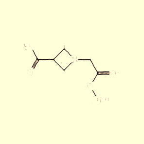 CCC(=O)C1CN(CC(=O)OC(C)(C)C)C1